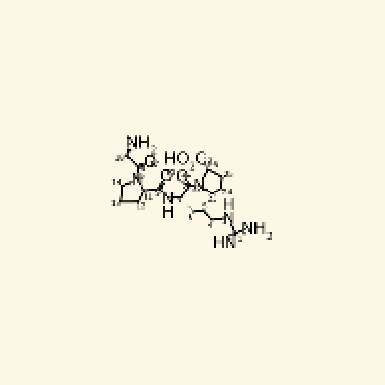 N=C(N)NCCC[C@H](NC(=O)C1CCCN1C(=O)CN)C(=O)N1CCC[C@H]1C(=O)O